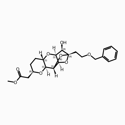 COC(=O)C[C@H]1CC[C@@H]2O[C@@H]3[C@H]4O[C@](CCOCc5ccccc5)(O[C@H]4[C@H]2O1)[C@@H]3O